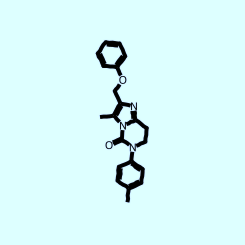 Cc1ccc(N2CCc3nc(COc4ccccc4)c(C)n3C2=O)cc1